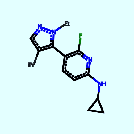 CCn1ncc(C(C)C)c1-c1ccc(NC2CC2)nc1F